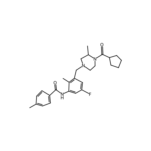 Cc1ccc(C(=O)Nc2cc(F)cc(CN3CCN(C(=O)C4CCCC4)C(C)C3)c2C)cc1